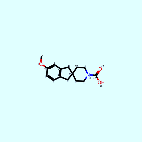 COc1ccc2c(c1)CC1(CCN(C(=O)O)CC1)C2